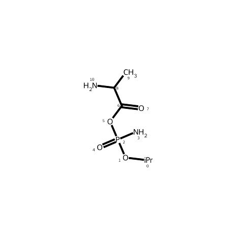 CC(C)OP(N)(=O)OC(=O)C(C)N